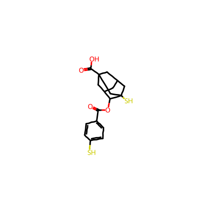 O=C(OC1C2CC3CC(C(=O)O)(C2)CC1(S)C3)c1ccc(S)cc1